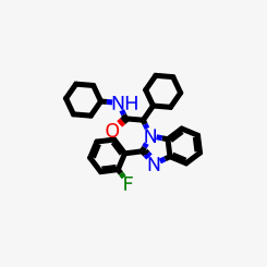 O=C(NC1CCCCC1)C(C1CCCCC1)n1c(-c2ccccc2F)nc2ccccc21